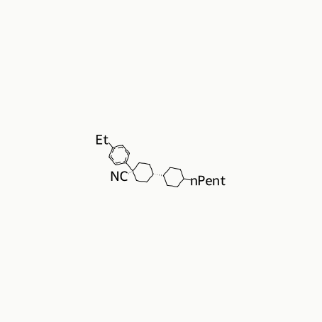 CCCCCC1CCC([C@H]2CC[C@](C#N)(c3ccc(CC)cc3)CC2)CC1